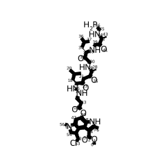 COC(=O)c1c(C)[nH]c2c(OC(=O)CCNN[C@@H](CC(C)C)C(=O)CC(=O)[C@H](C)NCC(=O)[C@H](CC(C)C)NCC(=O)[C@H](C)NCP)cc3c(c12)C(CCl)CN3C